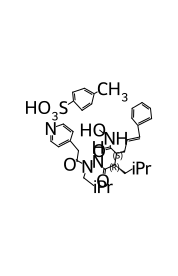 CC(C)C[C@@H](C(=O)NN(CC(C)C)C(=O)Cc1ccncc1)[C@H](CC=Cc1ccccc1)C(=O)NO.Cc1ccc(S(=O)(=O)O)cc1